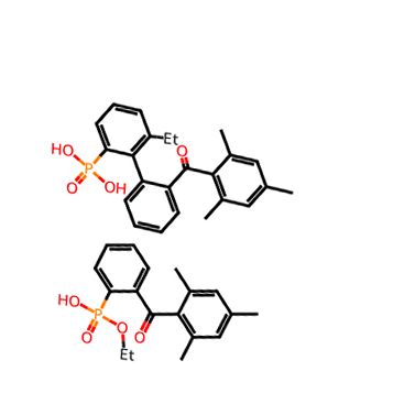 CCOP(=O)(O)c1ccccc1C(=O)c1c(C)cc(C)cc1C.CCc1cccc(P(=O)(O)O)c1-c1ccccc1C(=O)c1c(C)cc(C)cc1C